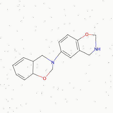 C1=CC2CN(c3ccc4c(c3)CNCO4)COC2C=C1